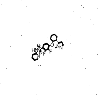 Cn1nccc1[C@H]1CCCC[C@@H]1Oc1ccc(S(=O)(=O)Nc2ccccn2)c(F)c1F